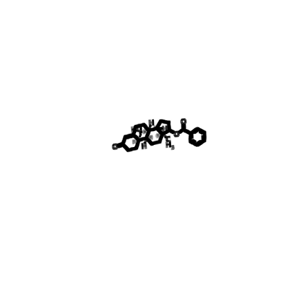 C[C@]12CC[C@@H]3[C@@H](CCC4=CC(=O)CC[C@@]43CO)[C@@H]1CCC2OC(=O)c1ccccc1